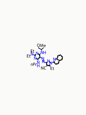 CCCNc1nc(N(CC)CC)nc(NC(C)COC)c1N=Nc1nn(-c2ccc3ccccc3n2)c(CC)c1C#N